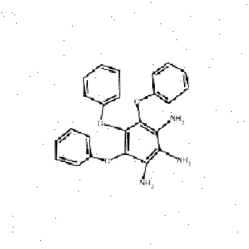 Nc1c(N)c(Oc2ccccc2)c(Oc2ccccc2)c(Oc2ccccc2)c1N